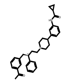 CC(=O)c1cccc(C[C@@H](CCN2CCC(c3cccc(NC(=O)C4CC4)c3)CC2)c2ccccc2)c1